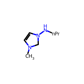 CCCNN1C=CN(C)C1